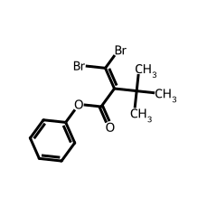 CC(C)(C)C(C(=O)Oc1ccccc1)=C(Br)Br